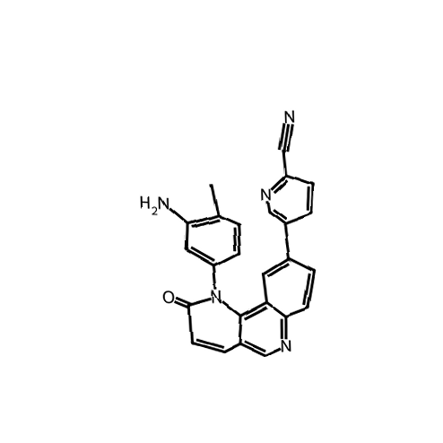 Cc1ccc(-n2c(=O)ccc3cnc4ccc(-c5ccc(C#N)nc5)cc4c32)cc1N